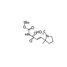 CC(C)(C)OC(=O)NS(=O)(=O)/C=C/C1(C)CCCN1C(=O)O